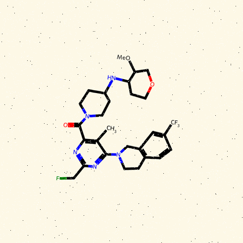 COC1COCCC1NC1CCN(C(=O)c2nc(CF)nc(N3CCc4ccc(C(F)(F)F)cc4C3)c2C)CC1